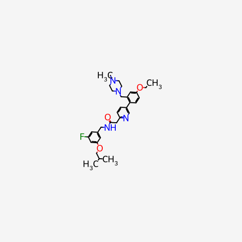 CCOc1ccc(-c2ccc(CC(=O)NCc3cc(F)cc(OCC(C)C)c3)nc2)c(CN2CCN(C)CC2)c1